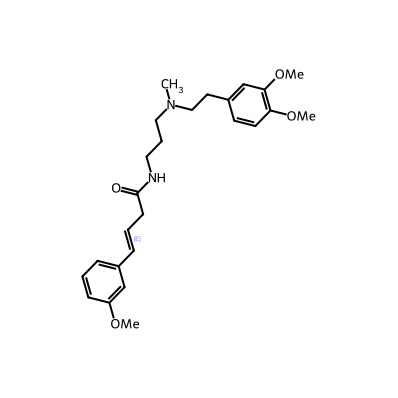 COc1cccc(/C=C/CC(=O)NCCCN(C)CCc2ccc(OC)c(OC)c2)c1